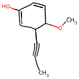 CC#CC1C=C(O)C=CC1OC